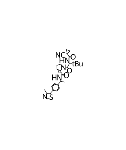 Cc1ncsc1-c1ccc(C(C)NC(=O)[C@@H]2CCCN2C(=O)C(NC(=O)C2(C#N)CC2)C(C)(C)C)cc1